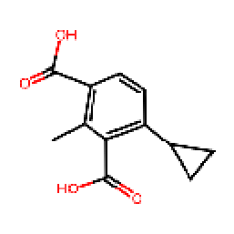 Cc1c(C(=O)O)ccc(C2CC2)c1C(=O)O